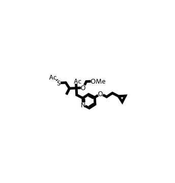 COCOC(Cc1cc(OCCC2CC2)ccn1)(C(C)=O)C(C)CSC(C)=O